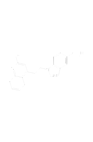 Cc1cc(CCn2ccc3cc(C(=O)O)ccc32)c2c(n1)CC=CC2